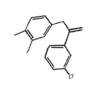 C=C(Cc1ccc(C)c(C)c1)c1cccc(Cl)c1